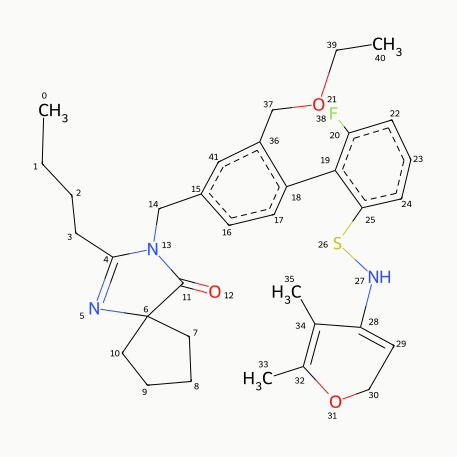 CCCCC1=NC2(CCCC2)C(=O)N1Cc1ccc(-c2c(F)cccc2SNC2=CCOC(C)=C2C)c(COCC)c1